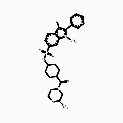 Cn1c(-c2ccccc2)c(Cl)c2ccc(S(=O)(=O)NC3CCC(C(=O)N4CCN[C@H](C(F)(F)F)C4)CC3)cc21